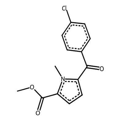 COC(=O)c1ccc(C(=O)c2ccc(Cl)cc2)n1C